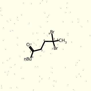 CCCCC(=O)CCC(C)(Br)Br